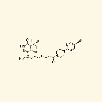 COCC(COCCC(=O)N1CCN(c2ccc(C#N)cn2)CC1)Nc1cn[nH]c(=O)c1C(F)(F)F